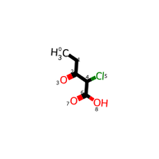 CCC(=O)C(Cl)C(=O)O